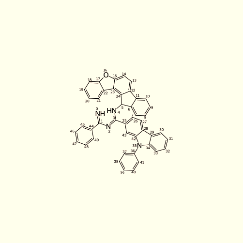 N=C(/N=C(\NC1c2ccccc2-c2ccc3oc4ccccc4c3c21)c1ccc2c3ccccc3n(-c3ccccc3)c2c1)c1ccccc1